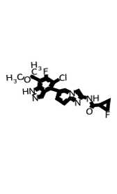 COC(C)c1c(F)c(Cl)c(-c2ccc3nc(NC(=O)C4CC4F)cn3c2)c2cn[nH]c12